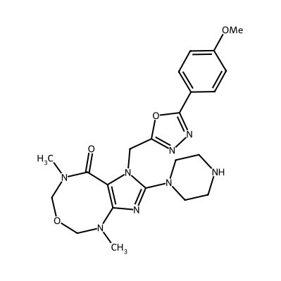 COc1ccc(-c2nnc(Cn3c(N4CCNCC4)nc4c3C(=O)N(C)COCN4C)o2)cc1